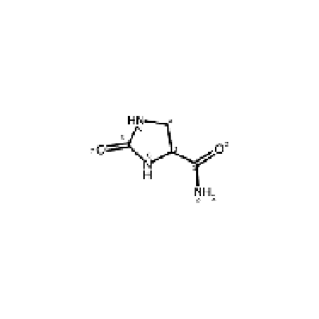 NC(=O)C1CNC(=O)N1